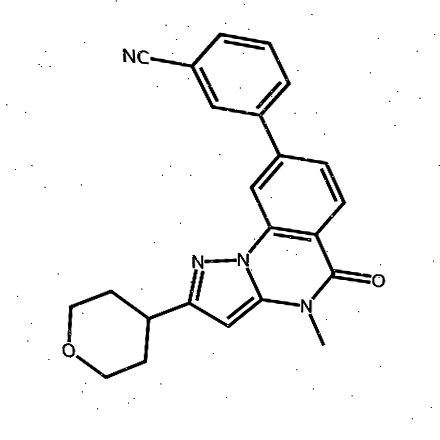 Cn1c(=O)c2ccc(-c3cccc(C#N)c3)cc2n2nc(C3CCOCC3)cc12